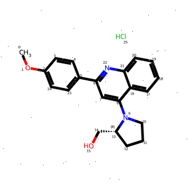 COc1ccc(-c2cc(N3CCC[C@@H]3CO)c3ccccc3n2)cc1.Cl